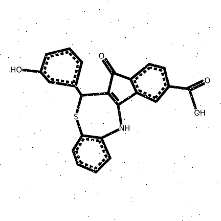 O=C(O)c1ccc2c(c1)C1=C(C2=O)C(c2cccc(O)c2)Sc2ccccc2N1